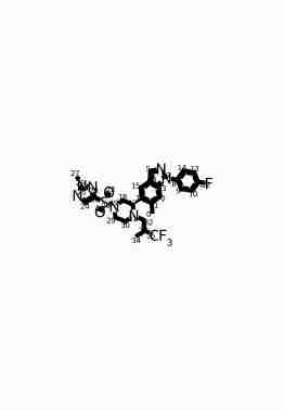 Cc1cc2c(cnn2-c2ccc(F)cc2)cc1[C@@H]1CN(S(=O)(=O)c2cnn(C)n2)CCN1CC(C)C(F)(F)F